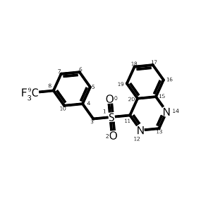 O=S(=O)(Cc1cccc(C(F)(F)F)c1)c1ncnc2ccccc12